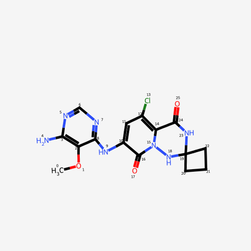 COc1c(N)ncnc1Nc1cc(Cl)c2n(c1=O)NC1(CCC1)NC2=O